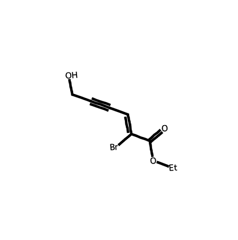 CCOC(=O)C(Br)=CC#CCO